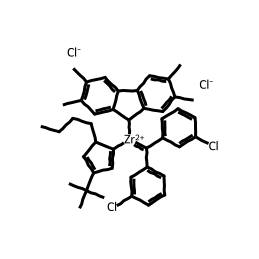 CCCCC1C=C(C(C)(C)C)C=[C]1[Zr+2](=[C](c1cccc(Cl)c1)c1cccc(Cl)c1)[CH]1c2cc(C)c(C)cc2-c2cc(C)c(C)cc21.[Cl-].[Cl-]